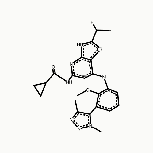 COc1c(Nc2cc(NC(=O)C3CC3)nc3[nH]c(C(F)F)nc23)cccc1-c1c(C)nnn1C